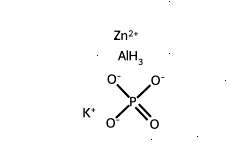 O=P([O-])([O-])[O-].[AlH3].[K+].[Zn+2]